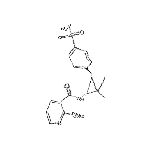 COc1ncccc1C(=O)N[C@@H]1[C@@H](c2ccc(S(N)(=O)=O)cc2)C1(C)C